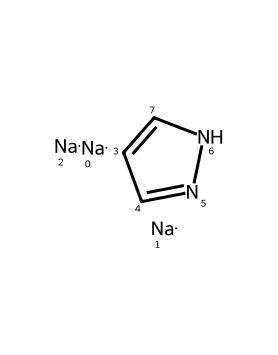 [Na].[Na].[Na].c1cn[nH]c1